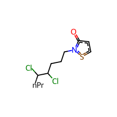 CCCC(Cl)C(Cl)CCCn1sccc1=O